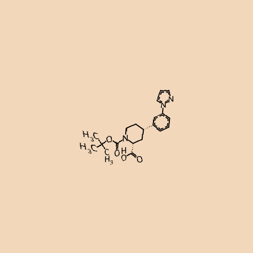 CC(C)(C)OC(=O)N1CC[C@H](c2cccc(-n3cccn3)c2)C[C@@H]1C(=O)O